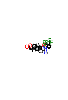 C[C@]12CC[C@H]3[C@@H](CCC4OC(=O)C=C[C@@]43C)[C@@H]1C[C@H](C(=O)Nc1cccc(C(F)(F)F)c1C(F)(F)F)C2